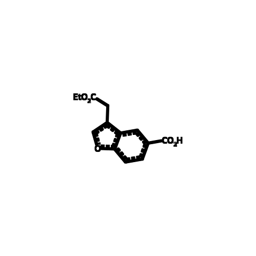 CCOC(=O)Cc1coc2ccc(C(=O)O)cc12